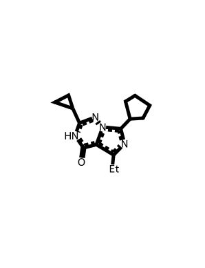 CCc1nc(C2CCCC2)n2nc(C3CC3)[nH]c(=O)c12